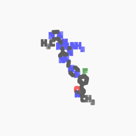 Cc1cc(-c2ccc(F)c(N3CCN(CCn4ncc5c4nc(N)n4nc(-c6nccnc6C)nc54)CC3)c2)on1